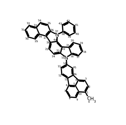 Cc1ccc2c3c(cccc13)-c1ccc(-n3c4ccccc4c4c3ccc3c5c6ccccc6ccc5n(-c5ccccc5)c34)cc1-2